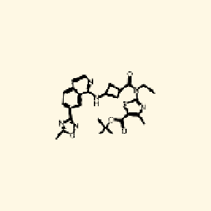 CCN(C(=O)C1CC(Nc2nccc3ccc(-c4noc(C)n4)cc23)C1)c1nc(C)c(C(=O)OC(C)(C)C)s1